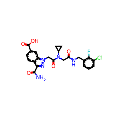 NC(=O)c1nn(CC(=O)N(CC(=O)NCc2cccc(Cl)c2F)C2CC2)c2cc(C(=O)O)ccc12